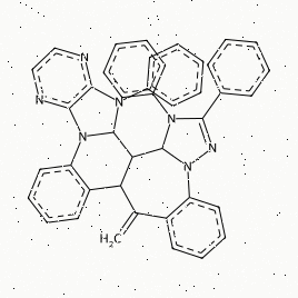 C=C1c2ccccc2N2N=C(c3ccccc3)N(c3ccccc3)C2C2C1c1ccccc1N1c3nccnc3N(c3ccccc3)C21